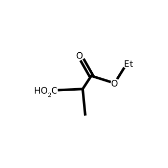 CCOC(=O)C(C)C(=O)O